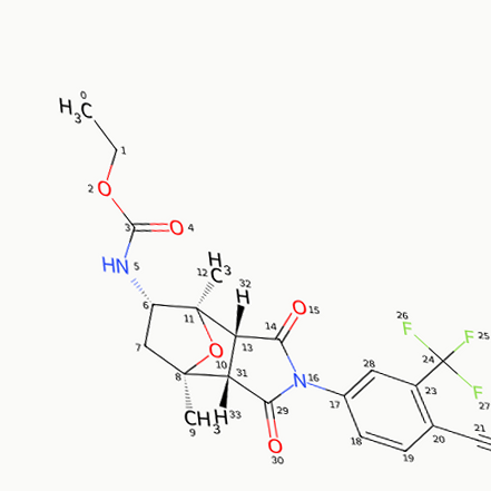 CCOC(=O)N[C@H]1C[C@@]2(C)O[C@]1(C)[C@@H]1C(=O)N(c3ccc(C#N)c(C(F)(F)F)c3)C(=O)[C@@H]12